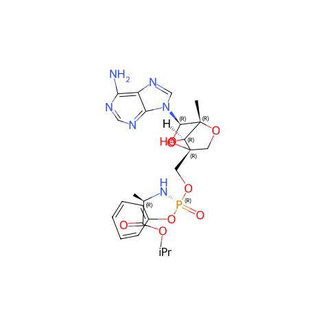 CC(C)OC(=O)[C@@H](C)N[P@@](=O)(OC[C@]12CO[C@](C)([C@@H]1O)[C@H](n1cnc3c(N)ncnc31)O2)Oc1ccccc1